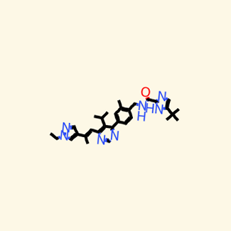 CCn1cc(/C(C)=C/c2ncnc(-c3ccc(CNC(=O)c4ncc(C(C)(C)C)[nH]4)c(C)c3)c2C(C)C)cn1